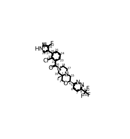 C[C@]12CO[C@H](c3ccc(C(F)(F)F)nn3)CN1CCN(C(=O)c1cccc(-c3c[nH]nc3F)c1Cl)C2